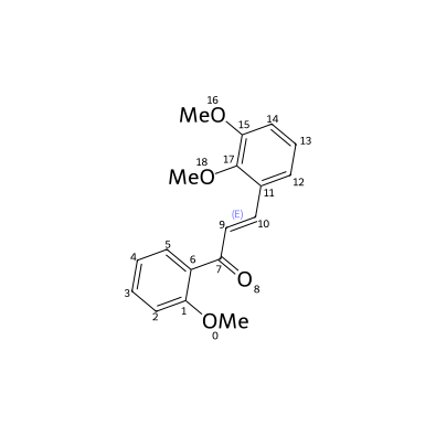 COc1ccccc1C(=O)/C=C/c1cccc(OC)c1OC